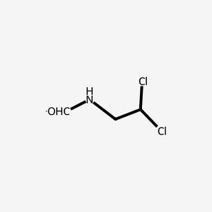 O=[C]NCC(Cl)Cl